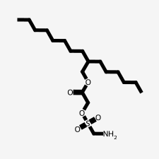 CCCCCCCCC(CCCCCC)COC(=O)COS(=O)(=O)CN